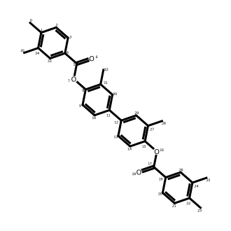 Cc1ccc(C(=O)Oc2ccc(-c3ccc(OC(=O)c4ccc(C)c(C)c4)c(C)c3)cc2C)cc1C